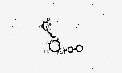 CC[C@H](O)[C@@H](C)C1OC1C[C@@](C)(O)/C=C/C=C(\C)[C@H]1OC(=O)CC(O)CC[C@@](C)(O)[C@@H](OC(=O)N2CCN(C3CCCCCC3)CC2)/C=C/C1C